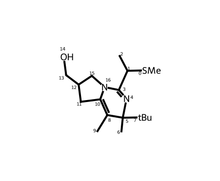 CSC(C)C1=NC(C)(C(C)(C)C)C(C)=C2CC(CO)CN12